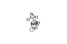 CC[Si](CC)(CC)OC(CNCC1CCCCN1)c1c(Cl)cncc1Cl